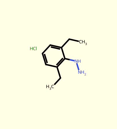 CCc1cccc(CC)c1NN.Cl